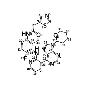 O=C(Cc1cncs1)Nc1ccc(F)c(Nc2ncccc2-c2ncnc3c2ncn3C2CCCCO2)c1F